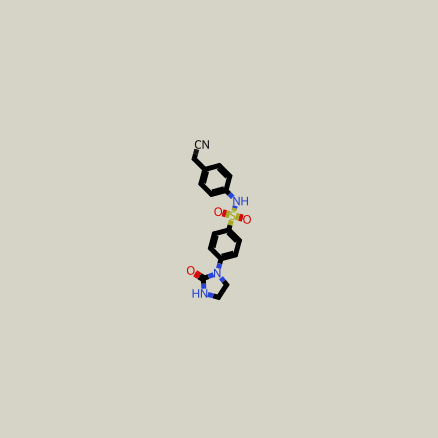 N#CCc1ccc(NS(=O)(=O)c2ccc(N3CCNC3=O)cc2)cc1